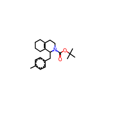 Cc1ccc(CC2C3=C(CCCC3)CCN2C(=O)OC(C)(C)C)cc1